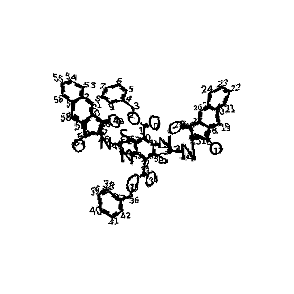 O=C(OCc1ccccc1)c1c2nc(N=c3c(=O)c4cc5ccccc5cc4c3=O)sc2c(C(=O)OCc2ccccc2)c2nc(N=c3c(=O)c4cc5ccccc5cc4c3=O)sc12